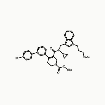 COCCCn1cc(CN(C(=O)C2=C(c3cccc(-c4ccc(O)cc4)c3)CCN(C(=O)OC(C)(C)C)C2)C2CC2)c2ccccc21